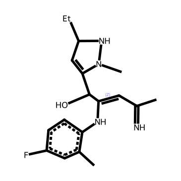 CCC1C=C(C(O)/C(=C/C(C)=N)Nc2ccc(F)cc2C)N(C)N1